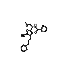 COC[C@@H](NC(=O)c1ccccn1)C1=N[C@@H](CCCc2ccccc2)B(O)O1